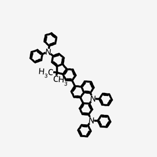 CC1(C)c2cc(-c3ccc4c5c(cccc35)N(c3ccccc3)c3cc(N(c5ccccc5)c5ccccc5)ccc3-4)ccc2-c2ccc(N(c3ccccc3)c3ccccc3)cc21